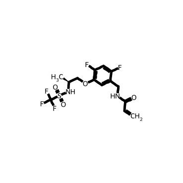 C=CC(=O)NCc1cc(OC[C@H](C)NS(=O)(=O)C(F)(F)F)c(F)cc1F